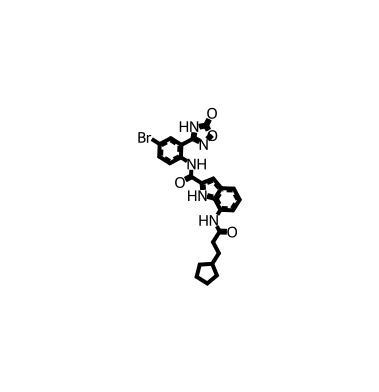 O=C(CCC1CCCC1)Nc1cccc2cc(C(=O)Nc3ccc(Br)cc3-c3noc(=O)[nH]3)[nH]c12